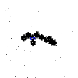 CC1(C)c2cc(-c3ccc(-c4cccc(-c5cc(-c6cccc(-c7ccccc7)c6)nc(-c6ccccc6)n5)c4)cc3)ccc2-c2cc3ccccc3cc21